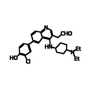 CCN(CC)C1CCC(Nc2c(CC=O)cnc3ccc(-c4ccc(O)c(Cl)c4)cc23)CC1